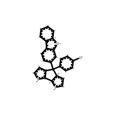 Clc1ccc(C2(c3ccc4c(c3)oc3ccccc34)c3ccsc3-c3sccc32)cc1